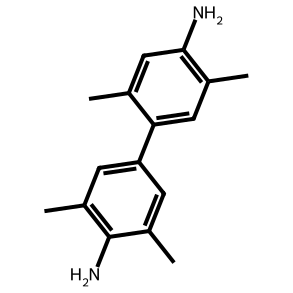 Cc1cc(-c2cc(C)c(N)c(C)c2)c(C)cc1N